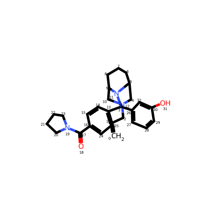 C=CCN1CC2CCCC(C1)N2C(c1ccc(C(=O)N2CCCC2)cc1)c1cccc(O)c1